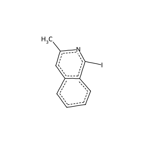 Cc1cc2ccccc2c(I)n1